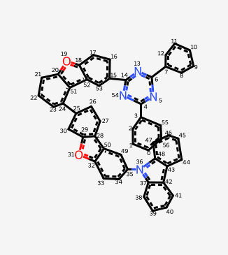 c1ccc(-c2nc(-c3ccccc3)nc(-c3ccc4oc5cccc(-c6ccc7c(c6)oc6ccc(-n8c9ccccc9c9ccccc98)cc67)c5c4c3)n2)cc1